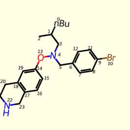 CCCCC(C)CN(Cc1ccc(Br)cc1)Oc1ccc2c(c1)CCNC2